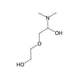 CN(C)C(O)COCCO